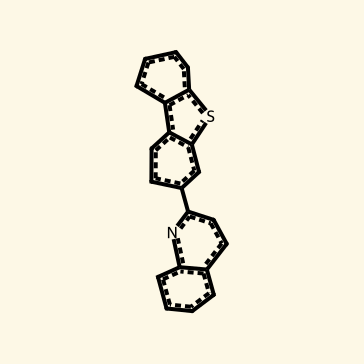 c1ccc2nc(-c3ccc4c(c3)sc3ccccc34)ccc2c1